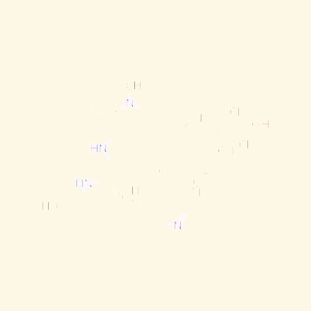 CCNC(=O)c1cc2c(-c3sc(C(C)(C)C(C)(C)O)c(F)c3Oc3c(C)cncc3C)cn(C)c(=O)c2[nH]1